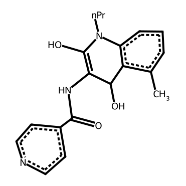 CCCN1C(O)=C(NC(=O)c2ccncc2)C(O)c2c(C)cccc21